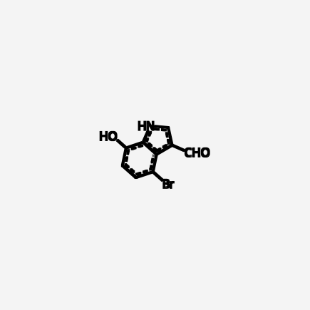 O=Cc1c[nH]c2c(O)ccc(Br)c12